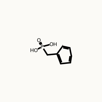 O=P(O)(O)Cc1[c]cccc1